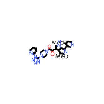 COc1ccncc1-c1ncc(OC)c2c(C(=O)C(=O)N3CCN(c4nnnn4-c4ccccn4)CC3)c[nH]c12